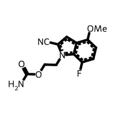 COc1ccc(F)c2c1cc(C#N)n2CCOC(N)=O